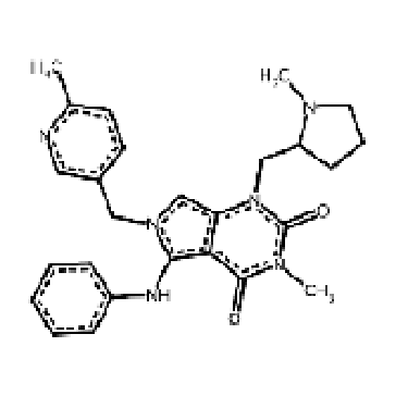 Cc1ccc(Cn2cc3c(c2Nc2ccccc2)c(=O)n(C)c(=O)n3CC2CCCN2C)cn1